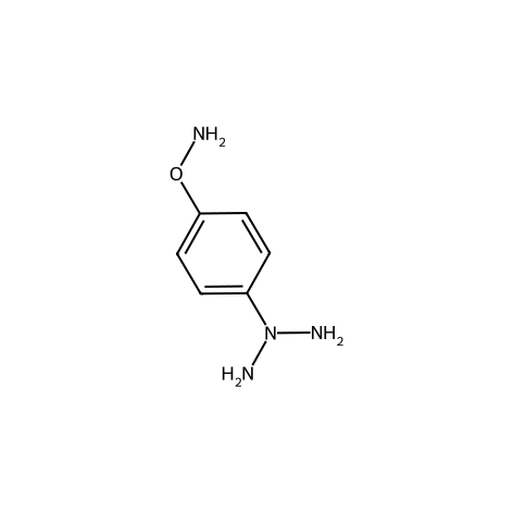 NOc1ccc(N(N)N)cc1